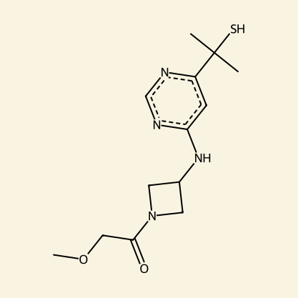 COCC(=O)N1CC(Nc2cc(C(C)(C)S)ncn2)C1